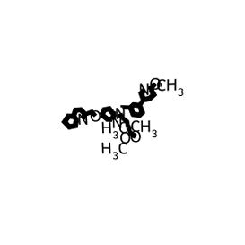 CCOC(=O)C(C)(C)Cc1nc2cc(OCc3ccc4ccccc4n3)ccc2n1Cc1cccc(-c2ccc(OC)nc2)c1